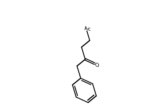 CC(=O)CCC(=O)Cc1ccccc1